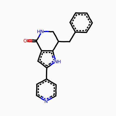 O=C1NCC(Cc2ccccc2)c2[nH]c(-c3ccncc3)cc21